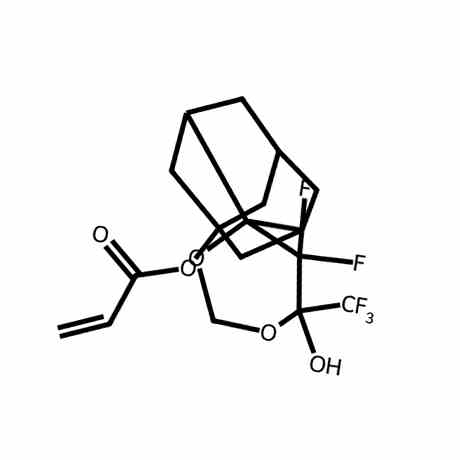 C=CC(=O)OC12CC3CC(C1)C1(OCOC(O)(C(F)(F)F)C1(F)F)C(C3)C2